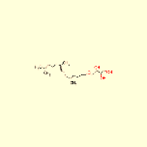 CC(C)=CCCC(C)=CCCC(C)=CCCCOC[C@H](O)[C@H](O)CO